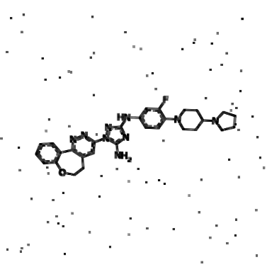 Nc1nc(Nc2ccc(N3CCC(N4CCCC4)CC3)c(F)c2)nn1-c1cc2c(nn1)-c1ccccc1OCC2